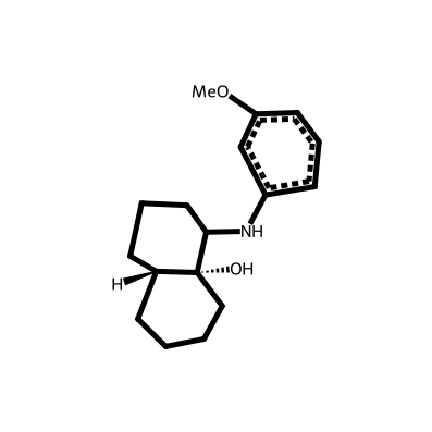 COc1cccc(NC2CCC[C@H]3CCCC[C@]23O)c1